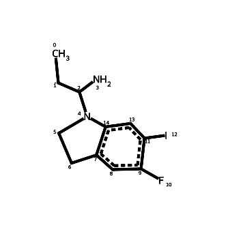 C[CH]C(N)N1CCc2cc(F)c(I)cc21